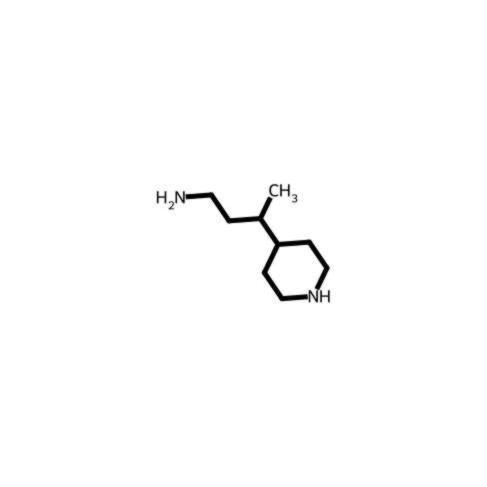 CC(CCN)C1CCNCC1